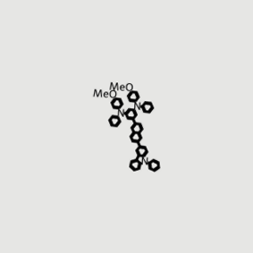 COc1ccc(N(c2ccccc2)c2cc(-c3ccc4cc(-c5ccc6c(c5)c5ccccc5n6-c5ccccc5)ccc4c3)cc(N(c3ccccc3)c3ccc(OC)cc3)c2)cc1